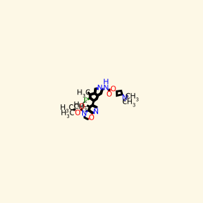 Cc1c(-c2cc3cc(NC(=O)O[C@H]4C[C@H](N(C)C)C4)ncc3c(C)c2F)cnc2c1N(C(=O)OC(C)(C)C)CCO2